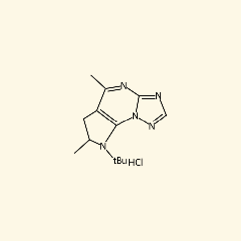 Cc1nc2ncnn2c2c1CC(C)N2C(C)(C)C.Cl